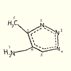 Cc1nnncc1N